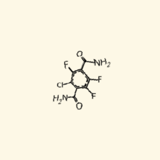 NC(=O)c1c(F)c(F)c(C(N)=O)c(Cl)c1F